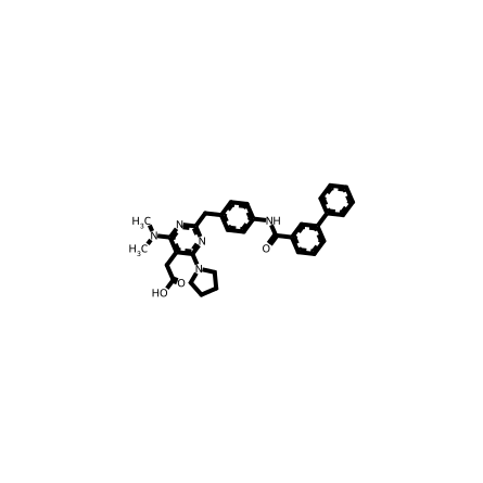 CN(C)c1nc(Cc2ccc(NC(=O)c3cccc(-c4ccccc4)c3)cc2)nc(N2CCCC2)c1CC(=O)O